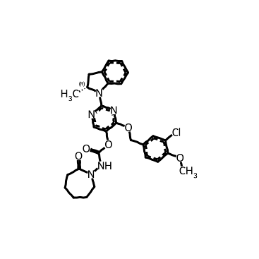 COc1ccc(COc2nc(N3c4ccccc4C[C@H]3C)ncc2OC(=O)NN2CCCCCC2=O)cc1Cl